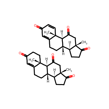 C[C@]12C=CC(=O)C=C1CC[C@@H]1[C@@H]2C(=O)C[C@]2(C)C(=O)CC[C@@H]12.C[C@]12CCC(=O)C=C1CC[C@@H]1[C@@H]2C(=O)C[C@]2(C)C(=O)CC[C@@H]12